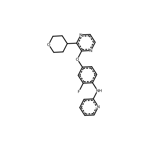 Fc1cc(Oc2nccnc2C2CCOCC2)ccc1Nc1ccccn1